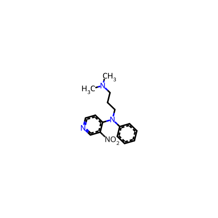 CN(C)CCCN(c1ccccc1)c1ccncc1[N+](=O)[O-]